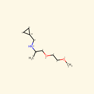 COCCOCC(C)NCC1CC1